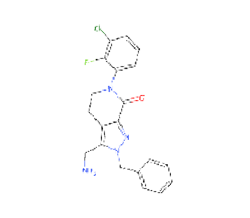 NCc1c2c(nn1Cc1ccccc1)C(=O)N(c1cccc(Cl)c1F)CC2